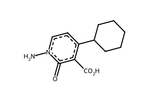 Nn1ccc(C2CCCCC2)c(C(=O)O)c1=O